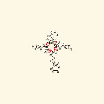 C[Si]1(CCCC2CC3C=CC2C3)O[Si](C)(CCC(F)(F)F)O[Si](C)(CCC(F)(F)F)O[Si](C)(CCC(F)(F)F)O1